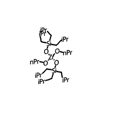 CCC[O][Zr]([O]CCC)([O][Si](CC(C)C)(CC(C)C)CC(C)C)[O][Si](CC(C)C)(CC(C)C)CC(C)C